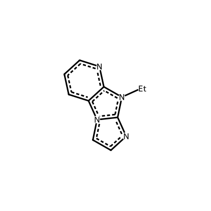 CCn1c2ncccc2n2ccnc12